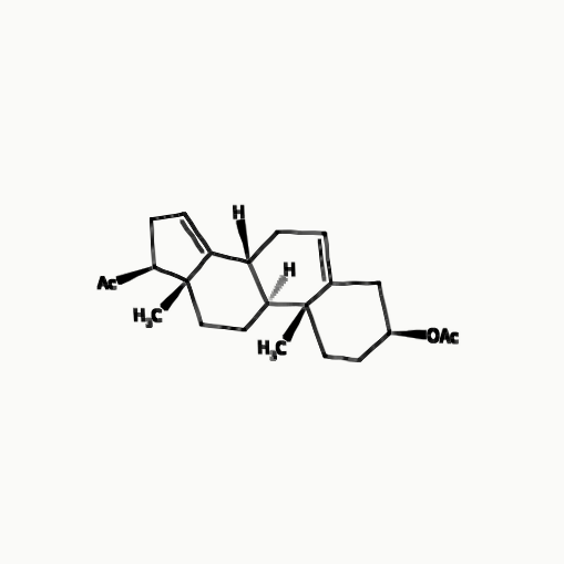 CC(=O)O[C@H]1CC[C@@]2(C)C(=CC[C@H]3C4=CC[C@H](C(C)=O)[C@@]4(C)CC[C@@H]32)C1